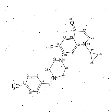 Cc1ccc(CN2CCN(c3cc4c(cc3F)c(=O)ccn4C3CC3)CC2)cc1